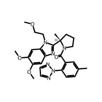 COCCn1c([C@]2(C)CCCN2C(=O)c2cc(C)ccc2-n2nccn2)nc2cc(OC)c(OC)cc21